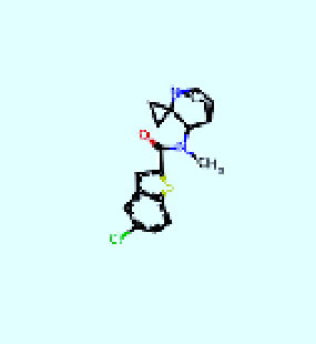 CN(C(=O)c1cc2cc(Cl)ccc2s1)C1C2CCN(CC2)C12CC2